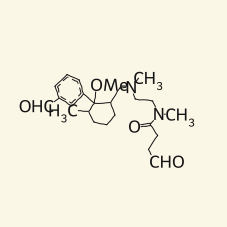 COC1(c2cccc(C=O)c2)C(C)CCCC1CN(C)CCN(C)C(=O)CCC=O